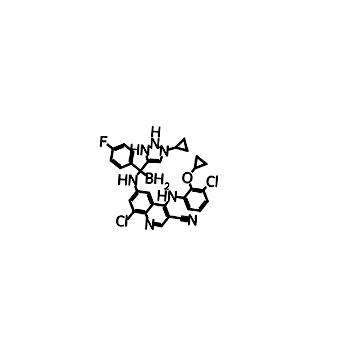 BC(Nc1cc(Cl)c2ncc(C#N)c(Nc3cccc(Cl)c3OC3CC3)c2c1)(C1=CN(C2CC2)NN1)c1ccc(F)cc1